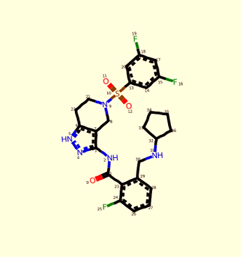 O=C(Nc1n[nH]c2c1CN(S(=O)(=O)c1cc(F)cc(F)c1)CC2)c1c(F)cccc1CNC1CCCC1